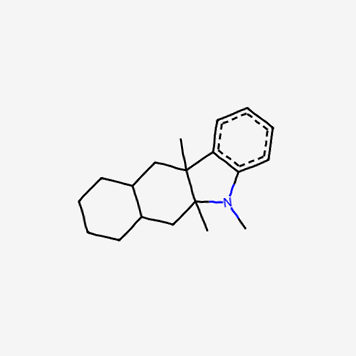 CN1c2ccccc2C2(C)CC3CCCCC3CC12C